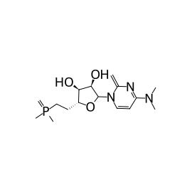 C=C1N=C(N(C)C)C=CN1C1O[C@H](CCP(=C)(C)C)[C@@H](O)[C@H]1O